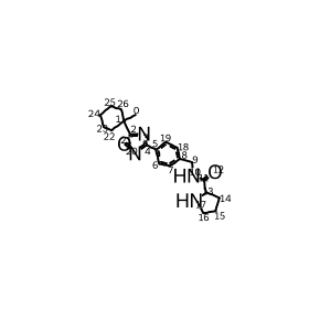 CC1(c2nc(-c3ccc(CNC(=O)C4CCCN4)cc3)no2)CCCCC1